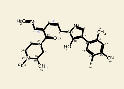 C=N/C=C(\C=C/Cn1ncc(-c2cc(F)c(C#N)cc2C)c1O)C(=O)N1CCN(CC)[C@H](C)C1